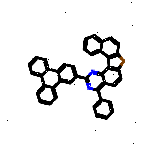 c1ccc(-c2nc(-c3ccc4c5ccccc5c5ccccc5c4c3)nc3c2ccc2sc4ccc5ccccc5c4c23)cc1